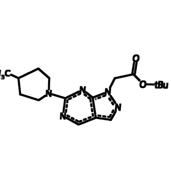 CC1CCN(c2ncc3cnn(CC(=O)OC(C)(C)C)c3n2)CC1